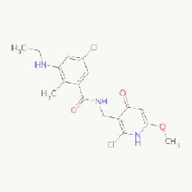 CCNc1cc(Cl)cc(C(=O)NCc2c(Cl)[nH]c(OC)cc2=O)c1C